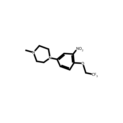 CN1CCN(c2ccc(OCC(F)(F)F)c([N+](=O)[O-])c2)CC1